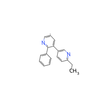 CCc1ccc(-c2c[c]cnc2-c2ccccc2)cn1